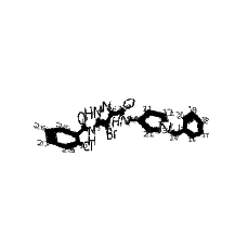 O=C(Nc1[nH]nc(C(=O)N[C@H]2CCN(Cc3ccccc3)C2)c1Br)c1ccccc1Cl